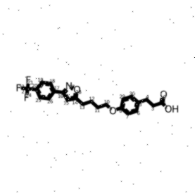 O=C(O)CCc1ccc(OCCCCc2cc(-c3ccc(C(F)(F)F)cc3)no2)cc1